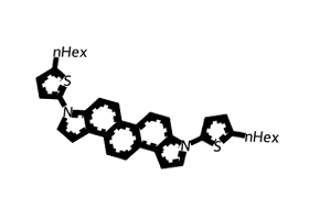 CCCCCCc1ccc(-n2ccc3c4ccc5c(ccc6c5ccn6-c5ccc(CCCCCC)s5)c4ccc32)s1